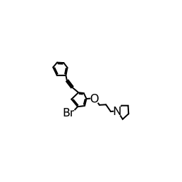 Brc1cc(C#Cc2ccccc2)cc(OCCCN2CCCC2)c1